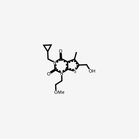 COCCn1c(=O)n(CC2CC2)c(=O)c2c(C)c(CO)sc21